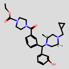 CCOC(=O)N1CCN(C(=O)c2cccc(C(c3cccc(O)c3)N3C[C@@H](C)N(CC4CC4)C[C@@H]3C)c2)CC1